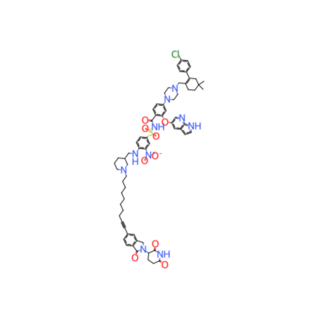 CC1(C)CCC(CN2CCN(c3ccc(C(=O)NS(=O)(=O)c4ccc(NCC5CCCN(CCCCCCCCC#Cc6ccc7c(c6)CN(C6CCC(=O)NC6=O)C7=O)C5)c([N+](=O)[O-])c4)c(Oc4cnc5[nH]ccc5c4)c3)CC2)=C(c2ccc(Cl)cc2)C1